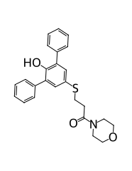 O=C(CCSc1cc(-c2ccccc2)c(O)c(-c2ccccc2)c1)N1CCOCC1